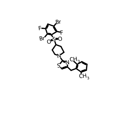 Cc1cccc(C)c1Cc1csc(N2CCC(S(=O)(=O)c3c(F)c(Br)cc(F)c3Br)CC2)n1